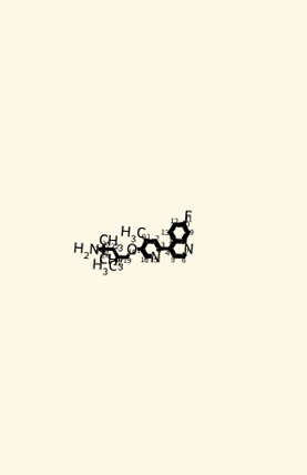 Cc1cc(-c2ccnc3cc(F)ccc23)ncc1OC[C@@H](C)CC(C)(C)N